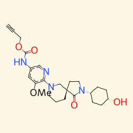 C#CCOC(=O)Nc1cnc(N2CCC[C@]3(CCN([C@H]4CC[C@@H](O)CC4)C3=O)C2)c(OC)c1